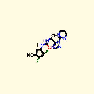 CC(NC(=O)Nc1cc(C#N)c(F)cc1F)c1ncnn1-c1ncccn1